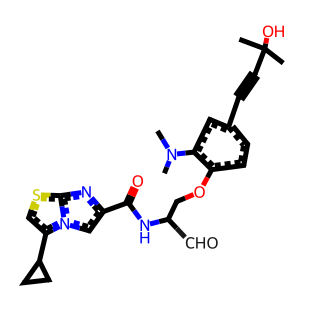 CN(C)c1cc(C#CC(C)(C)O)ccc1OCC(C=O)NC(=O)c1cn2c(C3CC3)csc2n1